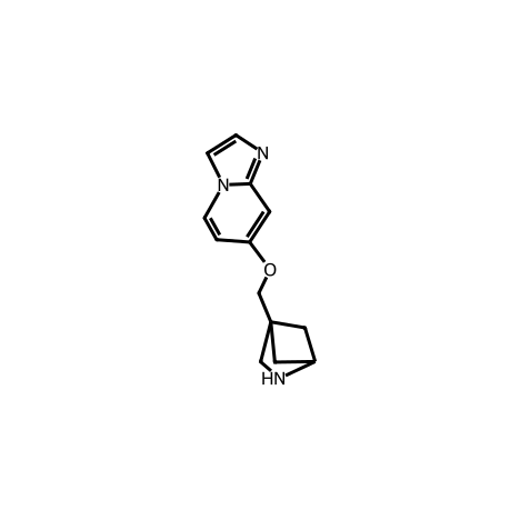 c1cn2ccc(OCC34CNC(C3)C4)cc2n1